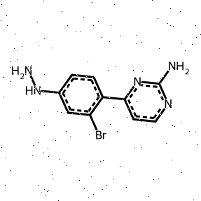 NNc1ccc(-c2ccnc(N)n2)c(Br)c1